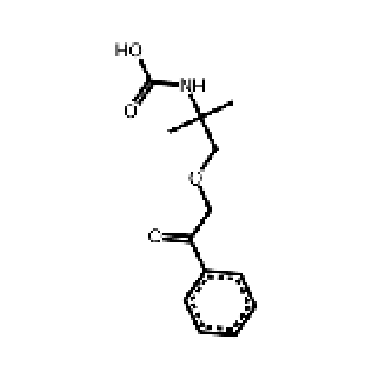 CC(C)(COCC(=O)c1ccccc1)NC(=O)O